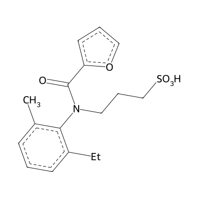 CCc1cccc(C)c1N(CCCS(=O)(=O)O)C(=O)c1ccco1